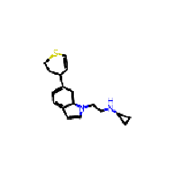 C1=CC(C2=CC=C3C=CN(CCNC4CC4)C3C2)CCS1